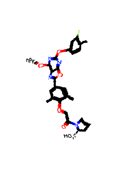 CCCOc1nc(Oc2ccc(C)c(F)c2)nc2oc(-c3cc(C)c(OCC(=O)N4CCC[C@H]4C(=O)O)c(C)c3)nc12